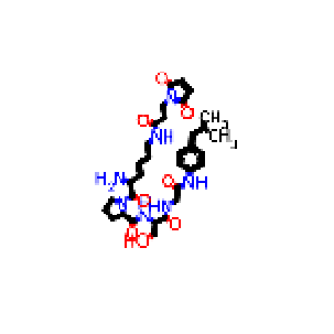 CC(C)Cc1ccc(NC(=O)CNC(=O)C(CO)NC(=O)C2CCCN2C(=O)C(N)CCCCNC(=O)CCN2C(=O)C=CC2=O)cc1